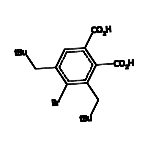 CC(C)(C)Cc1cc(C(=O)O)c(C(=O)O)c(CC(C)(C)C)c1Br